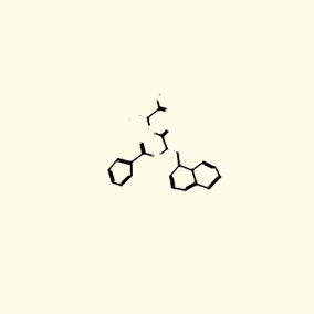 C[C@H](NC(=O)[C@@H](CC1C=CC=C2C=CC=CC21)NC(=O)c1ccccc1)C(=O)O